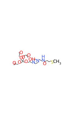 CSCCCC(=O)NCCN1CCN(CC(O)COCC(COCC2CO2)(COCC2CO2)COCC2CO2)CC1